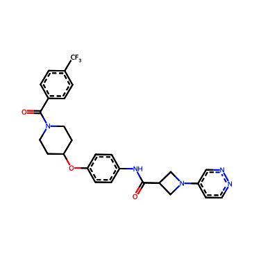 O=C(Nc1ccc(OC2CCN(C(=O)c3ccc(C(F)(F)F)cc3)CC2)cc1)C1CN(c2ccnnc2)C1